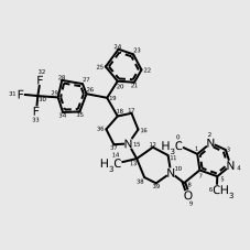 Cc1ncnc(C)c1C(=O)N1CCC(C)(N2CCC(C(c3ccccc3)c3ccc(C(F)(F)F)cc3)CC2)CC1